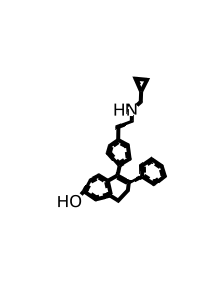 Oc1ccc2c(c1)CCC(c1ccccc1)=C2c1ccc(CCNCC2CC2)cc1